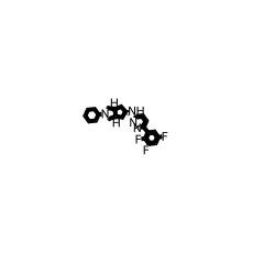 Fc1cc(F)c(F)c(-c2ccc(N[C@H]3C[C@@H]4CN(C5CCCCC5)C[C@@H]4C3)nn2)c1